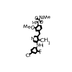 CNS(=O)(=O)Nc1ccc(Cc2cncc(Nc3ccc(Cl)cc3F)c2C)cc1OC